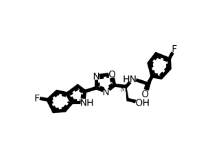 O=C(N[C@@H](CO)c1nc(-c2cc3cc(F)ccc3[nH]2)no1)c1ccc(F)cc1